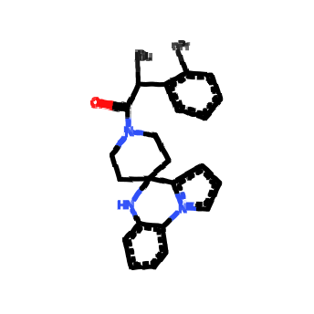 CCCc1ccccc1C(C(=O)N1CCC2(CC1)Nc1ccccc1-n1cccc12)C(C)CC